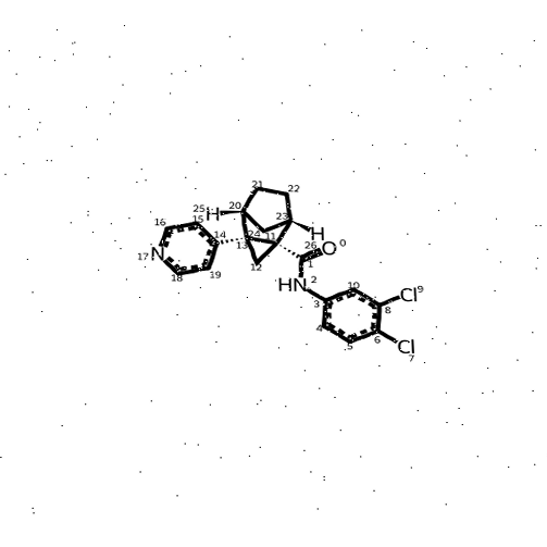 O=C(Nc1ccc(Cl)c(Cl)c1)[C@]12C[C@@]1(c1ccncc1)[C@@H]1CC[C@H]2C1